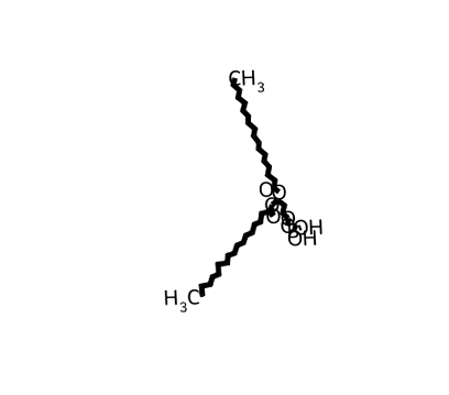 CCCCCCCCCCCCCCCCCC(=O)OC(CCOOB(O)O)OC(=O)CCCCCCCCCCCCCCCCC